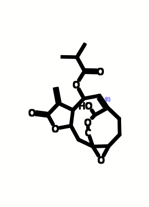 C=C1C(=O)OC2CC34COC(O)/C(=C/C(OC(=O)C(C)C)C12)CCC3O4